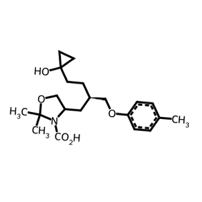 Cc1ccc(OC[C@H](CCC2(O)CC2)CC2COC(C)(C)N2C(=O)O)cc1